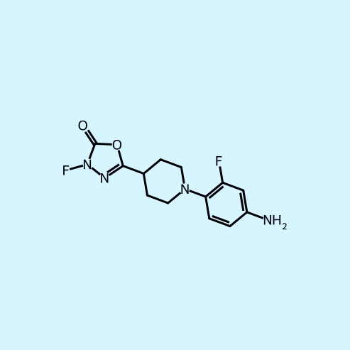 Nc1ccc(N2CCC(c3nn(F)c(=O)o3)CC2)c(F)c1